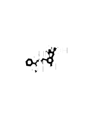 COCC(C(=O)NCc1cc(Cl)cc2cc(C(=O)O)c(=O)[nH]c12)c1ccccc1